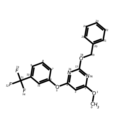 COc1cc(Oc2cccc(C(F)(F)F)c2)nc(OCc2ccccc2)n1